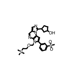 C[Si](C)(C)CCOCn1c(-c2cccc(S(C)(=O)=O)c2)cc2c1ncc1cnc(C3CCC(O)C3)n12